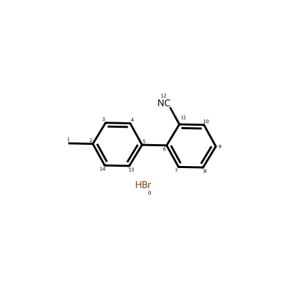 Br.Cc1ccc(-c2ccccc2C#N)cc1